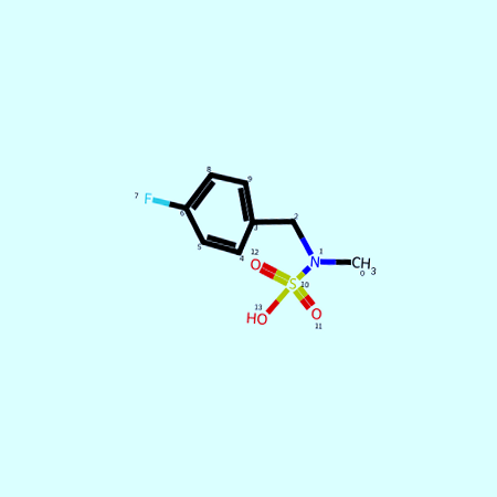 CN(Cc1ccc(F)cc1)S(=O)(=O)O